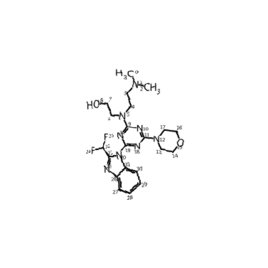 CN(C)CCN(CCO)c1nc(N2CCOCC2)nc(-n2c(C(F)F)nc3ccccc32)n1